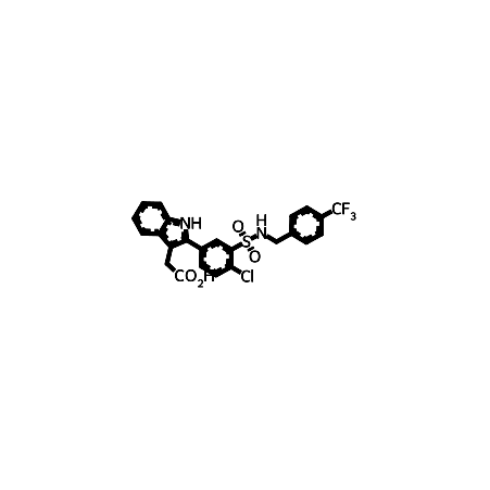 O=C(O)Cc1c(-c2ccc(Cl)c(S(=O)(=O)NCc3ccc(C(F)(F)F)cc3)c2)[nH]c2ccccc12